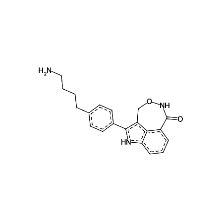 NCCCCc1ccc(-c2[nH]c3cccc4c3c2CONC4=O)cc1